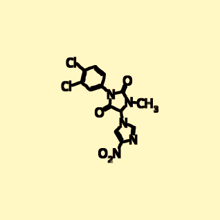 CN1C(=O)N(c2ccc(Cl)c(Cl)c2)C(=O)C1n1cnc([N+](=O)[O-])c1